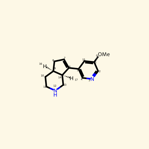 COc1cncc(C2=CC[C@@H]3CCNC[C@H]23)c1